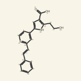 O=C(O)c1cc(-c2ccnc(/C=C/c3ccccc3)c2)[nH]c1CCO